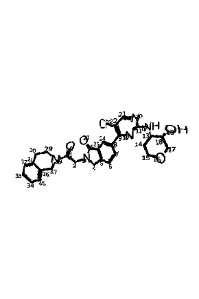 O=C(CN1Cc2ccc(-c3nc(N[C@H]4CCOC[C@@H]4O)ncc3Cl)cc2C1=O)N1CCc2ccccc2C1